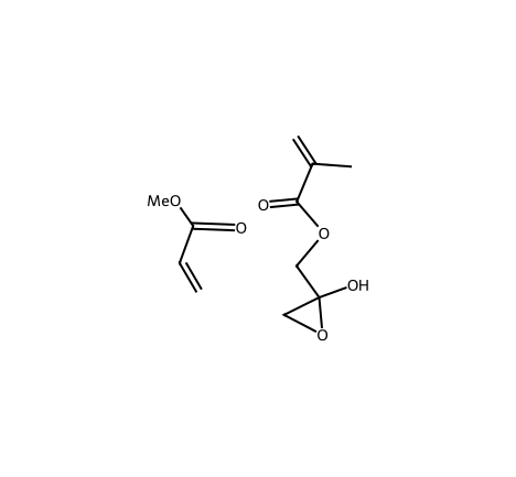 C=C(C)C(=O)OCC1(O)CO1.C=CC(=O)OC